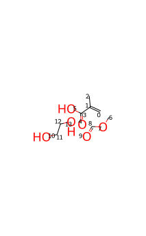 C=C(C)C(=O)O.COC=O.OCCO